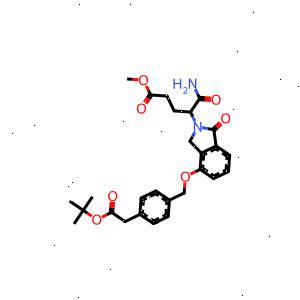 COC(=O)CCC(C(N)=O)N1Cc2c(OCc3ccc(CC(=O)OC(C)(C)C)cc3)cccc2C1=O